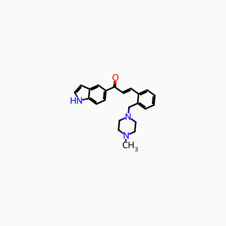 CN1CCN(Cc2ccccc2/C=C/C(=O)c2ccc3[nH]ccc3c2)CC1